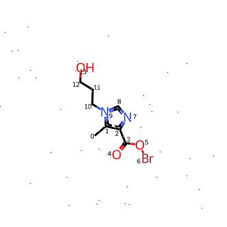 Cc1c(C(=O)OBr)ncn1CCCO